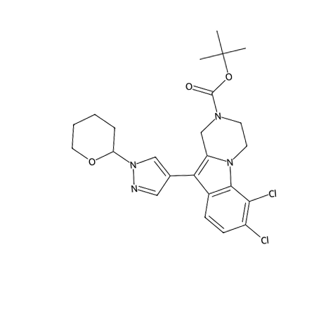 CC(C)(C)OC(=O)N1CCn2c(c(-c3cnn(C4CCCCO4)c3)c3ccc(Cl)c(Cl)c32)C1